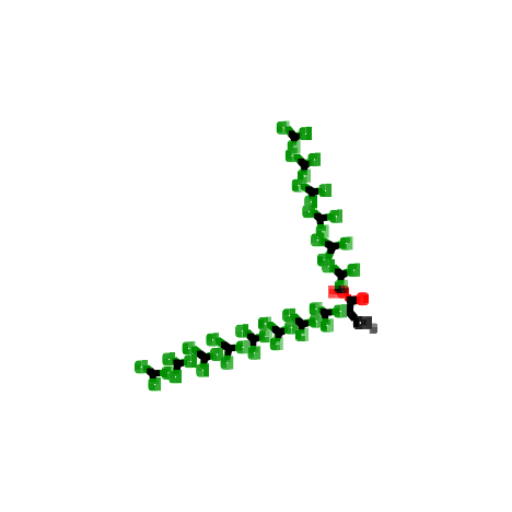 CCC(=O)O.ClC(Cl)Cl.ClC(Cl)Cl.ClC(Cl)Cl.ClC(Cl)Cl.ClC(Cl)Cl.ClC(Cl)Cl.ClC(Cl)Cl.ClC(Cl)Cl.ClC(Cl)Cl.ClC(Cl)Cl.ClC(Cl)Cl.ClC(Cl)Cl.ClC(Cl)Cl.ClC(Cl)Cl